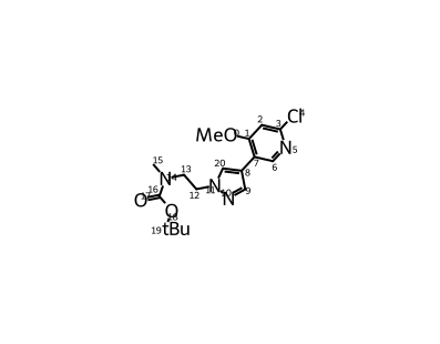 COc1cc(Cl)ncc1-c1cnn(CCN(C)C(=O)OC(C)(C)C)c1